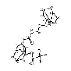 CC(F)(F)C(=O)OC12CC3CC(CC(CC(=O)OCOCC45CC6CC(CC(C6)C4)C5)(C3)C1)C2